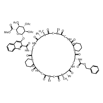 CCN1CC(=O)N(C)[C@@H](C(C)C)C(=O)NC[C@@H](NC(=O)c2nc3ccccc3cc2O[C@@H]2O[C@H](C(=O)OC)[C@@H](OC(C)=O)[C@H](OC(C)=O)[C@H]2OC(C)=O)C(=O)N2CCCC[C@H]2C(=O)NCC(=O)N(CC)CC(=O)N(C)[C@@H](C(C)C)C(=O)NC[C@@H](NC(=O)OCc2ccccc2)C(=O)N2CCCC[C@H]2C(=O)NCC1=O